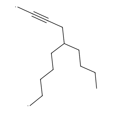 [CH2]C#CCC(CCCC)CCCC[CH2]